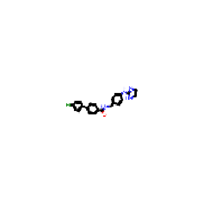 O=C(NCc1ccc(NC2=NCCN2)cc1)c1ccc(-c2ccc(F)cc2)cc1